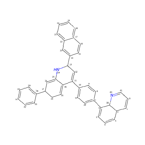 C1=CC2C=CC=C(c3ccc(C4=CC(c5ccc6ccccc6c5)NC5=CC(c6ccccc6)CC=C54)cc3)C2N=C1